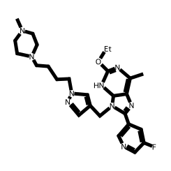 CCOC1=NC(C)=C2N=C(c3cncc(F)c3)N(Cc3cnn(CCCCN4CCN(C)CC4)c3)C2N1